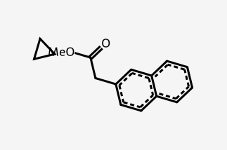 C1CC1.COC(=O)Cc1ccc2ccccc2c1